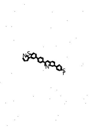 ISc1ccc(-c2ccc3cc(-c4ccc(-c5ccc6sc7ncccc7c6c5)cc4)cnc3c2)cc1